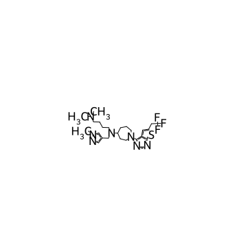 CN(C)CCCCN(Cc1cnn(C)c1)C1CCCN(c2ncnc3sc(CC(F)(F)F)cc23)CC1